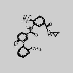 Cc1ccc(C(=O)NC2CC2)cc1NC(=O)c1ccc(=O)n(-c2ccccc2C)c1